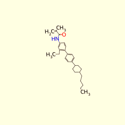 C=C(C)C(=O)Nc1ccc(-c2ccc(C3CCC(CCCCC)CC3)cc2)c(CC)c1